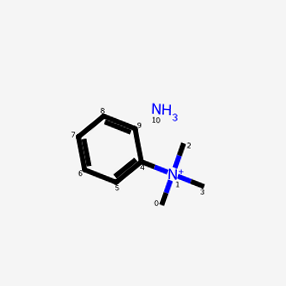 C[N+](C)(C)c1ccccc1.N